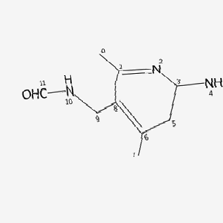 CC1=NC(N)CC(C)=C1CNC=O